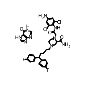 NC(=O)C1CN(CCCCC(c2ccc(F)cc2)c2ccc(F)cc2)CCN1CC(=O)Nc1c(Cl)cc(N)cc1Cl.O=c1[nH]cnc2nc[nH]c12